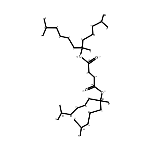 CC(C)CCCCC(C)(CCCC(C)C)OC(=O)CCC(=O)OC(C)(CCCCC(C)C)CCCC(C)C